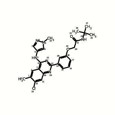 Cc1cc2c(Nc3cnn(C)c3)nc(-c3cccc(OCC(=O)NC(C)(C)C)c3)nc2cc1Cl